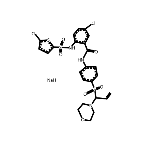 C=CC(N1CCOCC1)S(=O)(=O)c1ccc(NC(=O)c2cc(Cl)ccc2NS(=O)(=O)c2ccc(Cl)s2)cc1.[NaH]